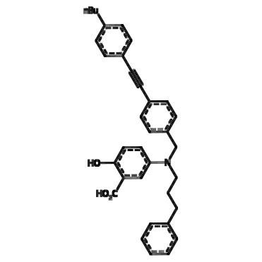 CCCCc1ccc(C#Cc2ccc(CN(CCCc3ccccc3)c3ccc(O)c(C(=O)O)c3)cc2)cc1